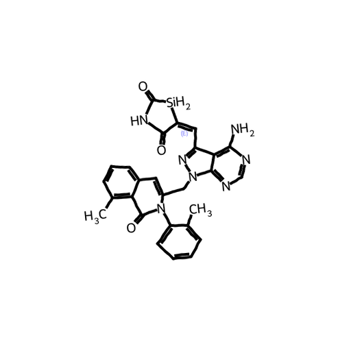 Cc1ccccc1-n1c(Cn2nc(/C=C3/[SiH2]C(=O)NC3=O)c3c(N)ncnc32)cc2cccc(C)c2c1=O